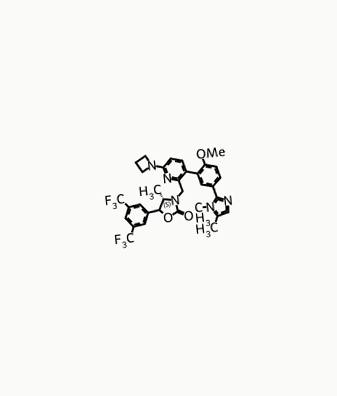 COc1ccc(-c2ncc(C)n2C)cc1-c1ccc(N2CCC2)nc1CN1C(=O)OC(c2cc(C(F)(F)F)cc(C(F)(F)F)c2)[C@@H]1C